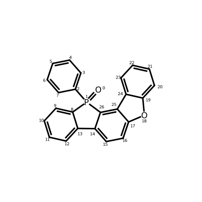 O=P1(c2ccccc2)c2ccccc2-c2ccc3oc4ccccc4c3c21